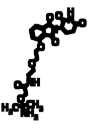 CC(C)(N)OCC(=O)NCCOCCOc1cccc2c1C(=O)N(C1CCC(=O)NC1=O)C2=O